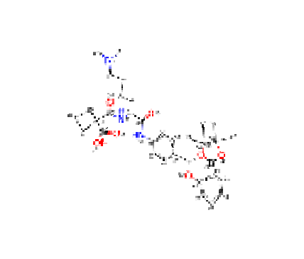 CN(C)CCCCC(NC(=O)C1(C(=O)O)CCC1)C(=O)Nc1ccc(COc2ccccc2B2OC(C)(C)C(C)(C)O2)cc1